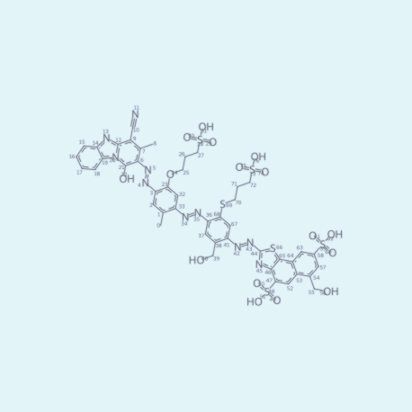 Cc1cc(N=Nc2c(C)c(C#N)c3nc4ccccc4n3c2O)c(OCCCS(=O)(=O)O)cc1N=Nc1cc(CO)c(N=Nc2nc3c(S(=O)(=O)O)cc4c(CO)cc(S(=O)(=O)O)cc4c3s2)cc1SCCCS(=O)(=O)O